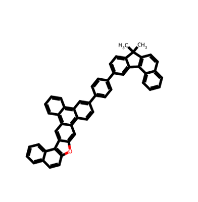 CC1(C)c2ccc(-c3ccc(-c4ccc5c(c4)c4ccccc4c4cc6c(cc54)oc4ccc5ccccc5c46)cc3)cc2-c2c1ccc1ccccc21